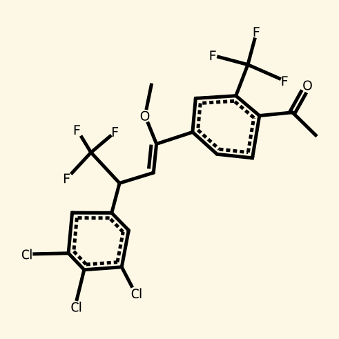 CO/C(=C\C(c1cc(Cl)c(Cl)c(Cl)c1)C(F)(F)F)c1ccc(C(C)=O)c(C(F)(F)F)c1